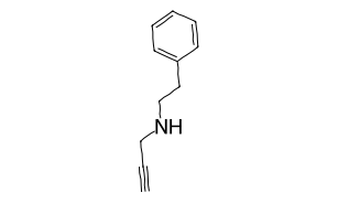 C#CCNCCc1ccccc1